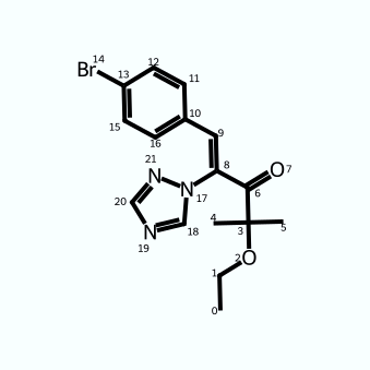 CCOC(C)(C)C(=O)C(=Cc1ccc(Br)cc1)n1cncn1